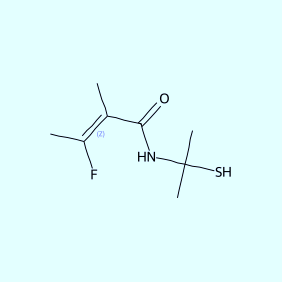 C/C(F)=C(\C)C(=O)NC(C)(C)S